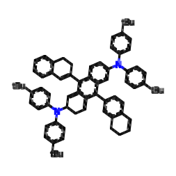 CC(C)(C)c1ccc(N(c2ccc(C(C)(C)C)cc2)c2ccc3c(C4=Cc5ccccc5CC4)c4c(c(-c5ccc6c(c5)CCC=C6)c3c2)=CCC(N(c2ccc(C(C)(C)C)cc2)c2ccc(C(C)(C)C)cc2)C=4)cc1